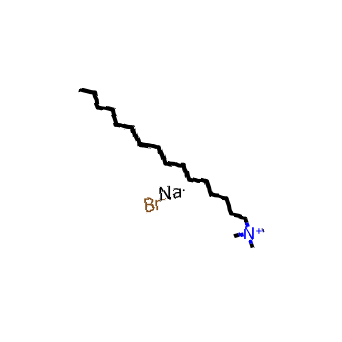 CCCCCCCCCCCCCCCC[N+](C)(C)C.[Br-].[Na]